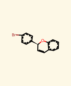 Brc1ccc([C@@H]2C=Cc3ccccc3O2)cc1